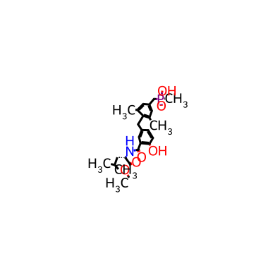 CCOC(=O)[C@H](CC(C)C)NC(=O)c1cc(Cc2c(C)cc(CP(C)(=O)O)cc2C)ccc1O